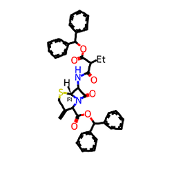 C=C1CS[C@@H]2C(NC(=O)C(CC)C(=O)OC(c3ccccc3)c3ccccc3)C(=O)N2C1C(=O)OC(c1ccccc1)c1ccccc1